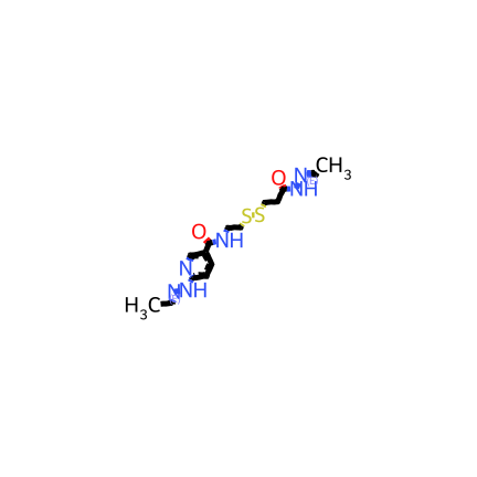 C/C=N/NC(=O)CCSSCCNC(=O)c1ccc(N/N=C/C)nc1